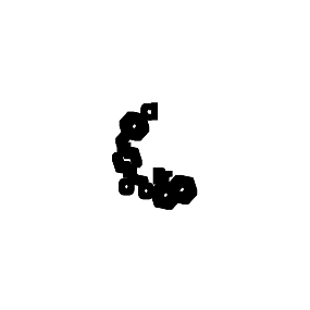 O=C(COc1ccc2ccccc2c1Br)N1CCN(Cc2ccc(Cl)cc2)CC1